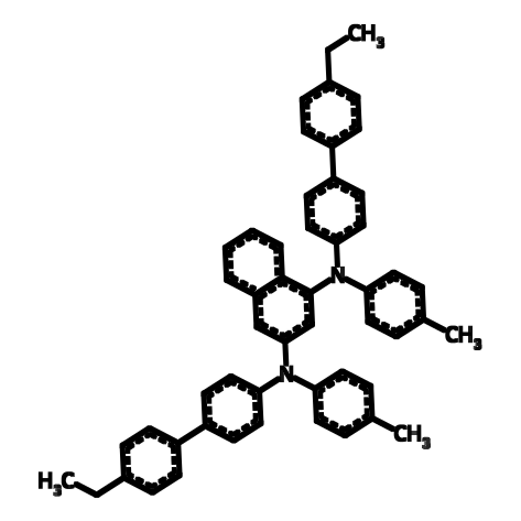 CCc1ccc(-c2ccc(N(c3ccc(C)cc3)c3cc(N(c4ccc(C)cc4)c4ccc(-c5ccc(CC)cc5)cc4)c4ccccc4c3)cc2)cc1